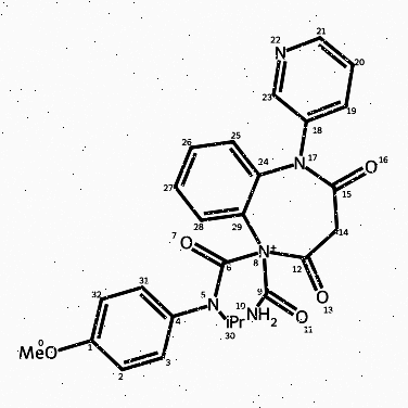 COc1ccc(N(C(=O)[N+]2(C(N)=O)C(=O)[CH]C(=O)N(c3cccnc3)c3ccccc32)C(C)C)cc1